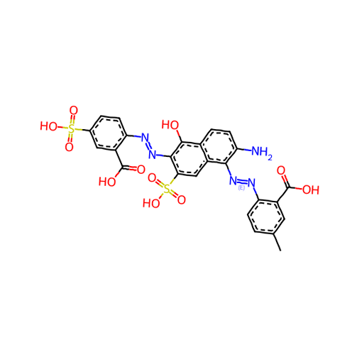 Cc1ccc(/N=N/c2c(N)ccc3c(O)c(N=Nc4ccc(S(=O)(=O)O)cc4C(=O)O)c(S(=O)(=O)O)cc23)c(C(=O)O)c1